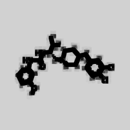 COc1cccc(NC(=O)N[C@@H](CN2CCC(Cc3ccc(Cl)c(Cl)c3)CC2)C(C)C)c1